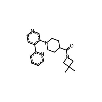 CC1(C)CN(C(=O)C2CCN(c3cnccc3-c3ccccn3)CC2)C1